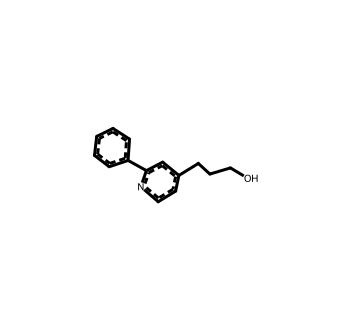 OCCCc1ccnc(-c2ccccc2)c1